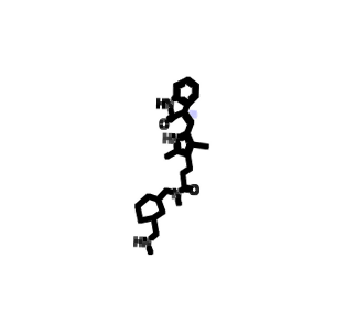 CNCC1CCCC(CN(C)C(=O)CCc2c(C)[nH]c(/C=C3\C(=O)Nc4ccccc43)c2C)C1